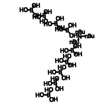 CCCCN(CCCC)CCCC.OB(O)O.OB(O)O.OB(O)O.OB(O)O.OB(O)O.OB(O)O.OB(O)O.OB(O)O.OB(O)O